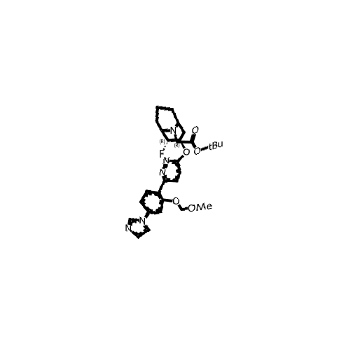 COCOc1cc(-n2ccnc2)ccc1-c1ccc(O[C@@H]2CC3CCCC([C@H]2F)N3CC(=O)OC(C)(C)C)nn1